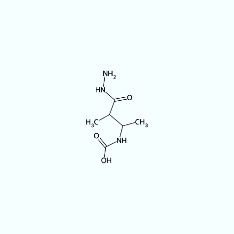 CC(NC(=O)O)C(C)C(=O)NN